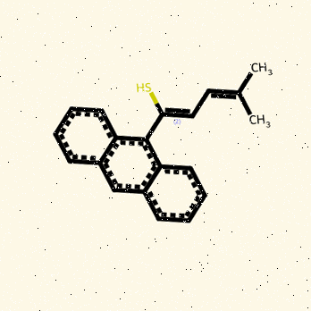 CC(C)=C/C=C(\S)c1c2ccccc2cc2ccccc12